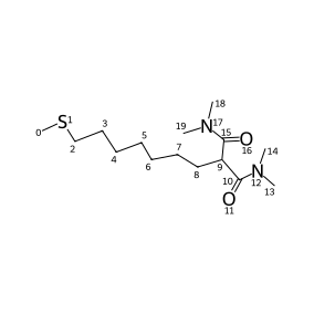 CSCCCCCCCC(C(=O)N(C)C)C(=O)N(C)C